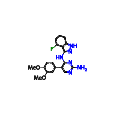 COc1ccc(-c2cnc(N)nc2Nc2n[nH]c3cccc(F)c23)cc1OC